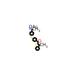 CC(=O)O/N=C(\C)c1ccc(Sc2ccc(C(=O)c3sc4ccccc4c3C)cc2)cc1